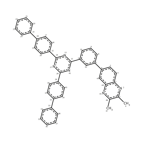 Cc1nc2ccc(-c3cccc(-c4nc(-c5ccc(-c6ccccc6)cc5)nc(-c5ccc(-c6ccccc6)cc5)n4)c3)cc2nc1C